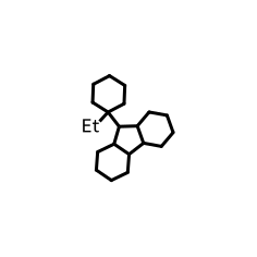 CCC1(C2C3CCCCC3C3CCCCC32)CCCCC1